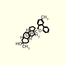 Cc1ccc(C(=O)[C@H]2CC[C@H]3[C@@H]4CC[C@H]5C[C@](C)(O)CC[C@]5(C)[C@H]4CC[C@]23C)c(-c2ccccc2)c1